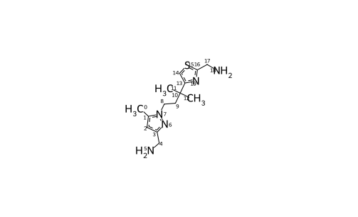 Cc1cc(CN)nn1CCC(C)(C)c1csc(CN)n1